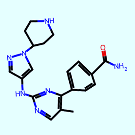 Cc1cnc(Nc2cnn(C3CCNCC3)c2)nc1-c1ccc(C(N)=O)cc1